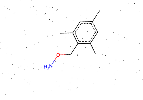 Cc1cc(C)c(CON)c(C)c1